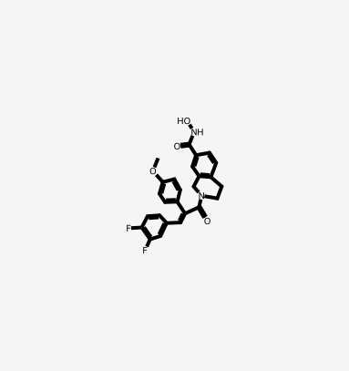 COc1ccc(/C(=C\c2ccc(F)c(F)c2)C(=O)N2CCc3ccc(C(=O)NO)cc3C2)cc1